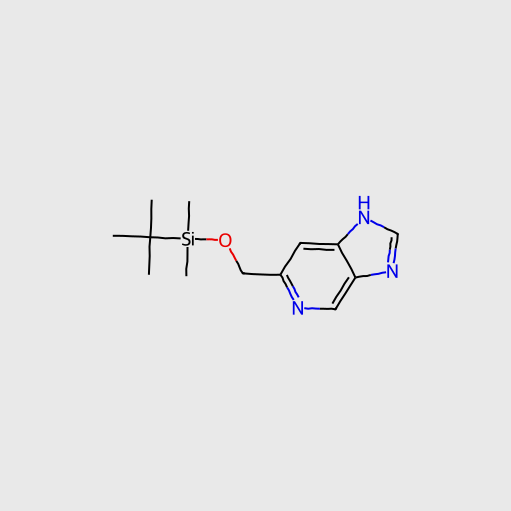 CC(C)(C)[Si](C)(C)OCc1cc2[nH]cnc2cn1